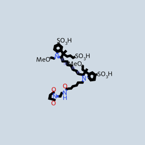 COCCN1/C(=C/C=C/C=C/C=C/C2=[N+](CCCCCC(=O)NCCN3C(=O)C=CC3=O)c3ccc(S(=O)(=O)O)cc3C2(C)CCOC)C(C)(CCCS(=O)(=O)O)c2cc(S(=O)(=O)O)ccc21